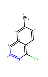 Bc1ccc2c(Cl)nncc2c1